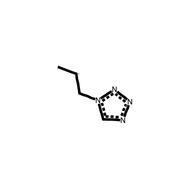 C[CH]Cn1cnnn1